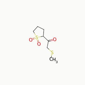 CSCC(=O)C1CCCS1(=O)=O